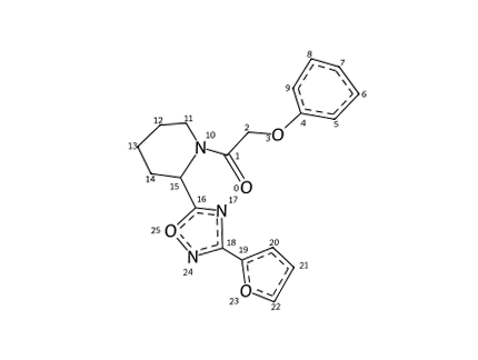 O=C(COc1ccccc1)N1CCCCC1c1nc(-c2ccco2)no1